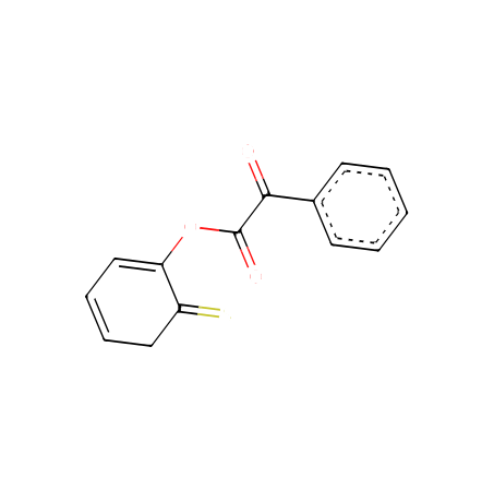 O=C(OC1=CC=CCC1=S)C(=O)c1ccccc1